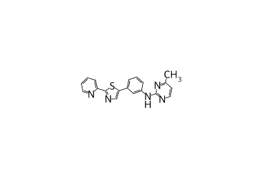 Cc1ccnc(Nc2cccc(-c3cnc(-c4ccccn4)s3)c2)n1